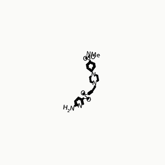 CNS(=O)(=O)c1ccc(N2CCN(CC#CS(=O)(=O)c3ccc(N)nc3)CC2)cc1